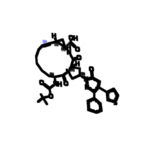 CC(C)(C)OC(=O)N[C@H]1CCCCC/C=C\[C@@H]2C[C@@]2(C(=O)O)NC(=O)[C@@H]2C[C@@H](n3nc(-c4ccccc4)c(-c4ccsc4)cc3=O)CN2C1=O